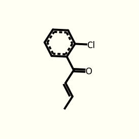 CC=CC(=O)c1ccccc1Cl